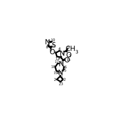 CC(=O)N1CC(Oc2cncs2)CC1C(=O)N1CCCN(C2CCC2)CC1